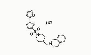 Cl.O=S(=O)(c1ccc(-c2ccno2)s1)N1CCC(CN2CCc3ccccc3C2)CC1